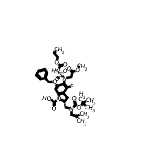 C=CCOC(=O)NS(=O)(=O)N(CC(=O)OC)c1c(OCc2ccccc2)cc2c(c1F)C[C@@H](CN(CC(C)C)C(=O)OC(C)(C)C)N2C(=O)O